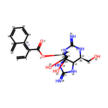 C=C/C(C(=O)O[C@H]1CN2C(=N)N[C@@H](CO)C3NC(=N)N[C@@]32C1(O)O)=c1/ccccc1=C